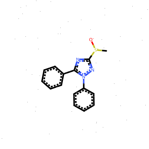 C[S+]([O-])c1nc(-c2ccccc2)n(-c2ccccc2)n1